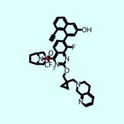 C#Cc1cccc2cc(O)cc(-c3c(F)cc4c(N5CC6CCC(C5)N6C(=O)C(F)(F)F)nc(OCC5(CN6CCc7cccnc7C6)CC5)nc4c3F)c12